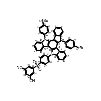 CC(C)(C)c1ccc(-n2c3ccccc3c3c2c2c4ccccc4n(-c4ccc(S(=O)(=O)c5cc(C#N)cc(C#N)c5)cc4)c2c2c4ccccc4n(-c4ccc(C(C)(C)C)cc4)c32)cc1